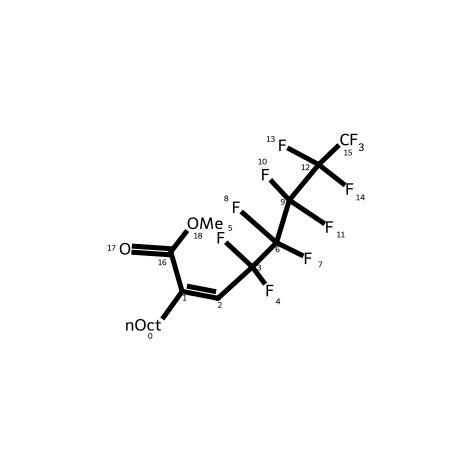 CCCCCCCCC(=CC(F)(F)C(F)(F)C(F)(F)C(F)(F)C(F)(F)F)C(=O)OC